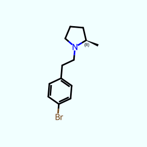 C[C@@H]1CCCN1CCc1ccc(Br)cc1